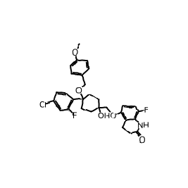 COc1ccc(COC2(c3ccc(Cl)cc3F)CCC(O)(COc3ccc(F)c4c3CCC(=O)N4)CC2)cc1